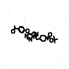 CC(=O)c1ccc(Oc2ncnc3c2cnn3CC2CCN(C(=O)OC(C)(C)C)CC2)cc1